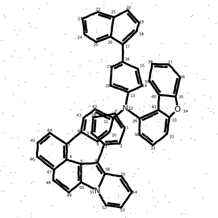 c1ccc(-c2c3c4c(-c5ccc(N(c6ccc(-c7cccc8ccccc78)cc6)c6cccc7oc8ccccc8c67)cc5)cccc4ccc3n3ccccc23)cc1